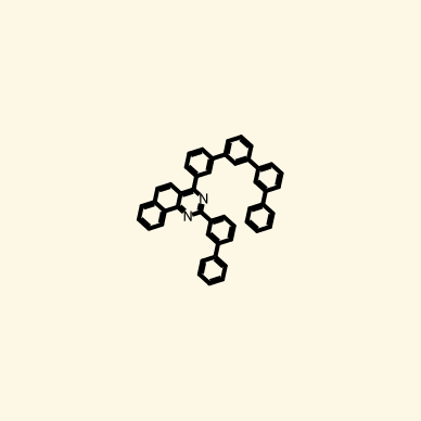 c1ccc(-c2cccc(-c3cccc(-c4cccc(-c5nc(-c6cccc(-c7ccccc7)c6)nc6c5ccc5ccccc56)c4)c3)c2)cc1